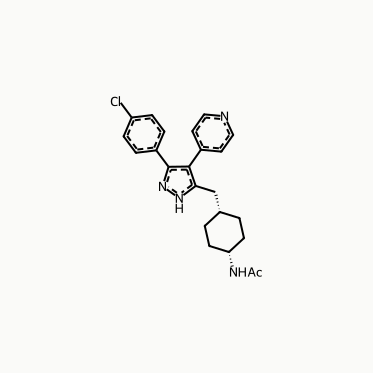 CC(=O)N[C@H]1CC[C@@H](Cc2[nH]nc(-c3ccc(Cl)cc3)c2-c2ccncc2)CC1